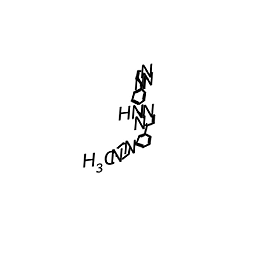 CN1CCN(c2cccc(-c3ccnc(Nc4ccc(-n5ccnn5)cc4)n3)c2)CC1